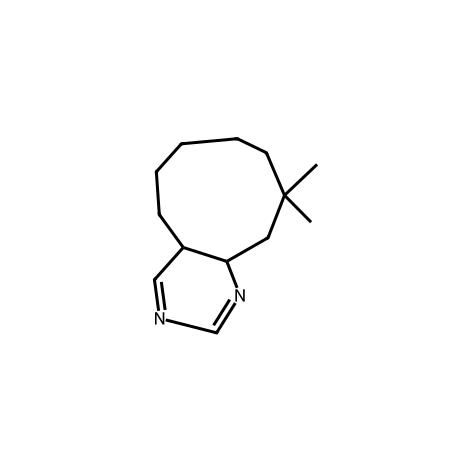 CC1(C)CCCCCC2C=NC=NC2C1